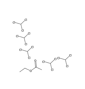 CCOC(C)=O.ClC(Cl)Cl.ClC(Cl)Cl.ClC(Cl)Cl.ClC(Cl)Cl.ClC(Cl)Cl